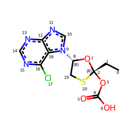 CC[C@]1(OC(=O)O)O[C@@H](n2cnc3ncnc(Cl)c32)CS1